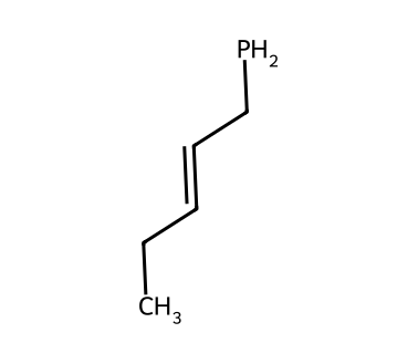 CCC=CCP